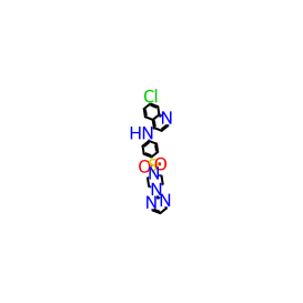 O=S(=O)(c1ccc(Nc2ccnc3cc(Cl)ccc23)cc1)N1CCN(c2ncccn2)CC1